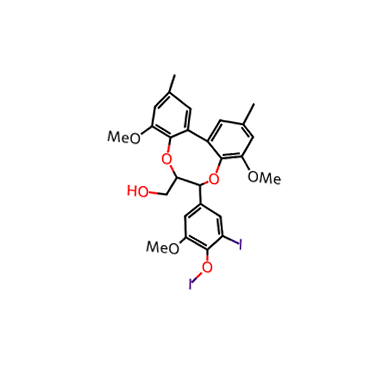 COc1cc(C2Oc3c(OC)cc(C)cc3-c3cc(C)cc(OC)c3OC2CO)cc(I)c1OI